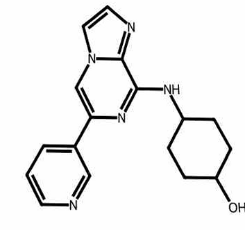 OC1CCC(Nc2nc(-c3cccnc3)cn3ccnc23)CC1